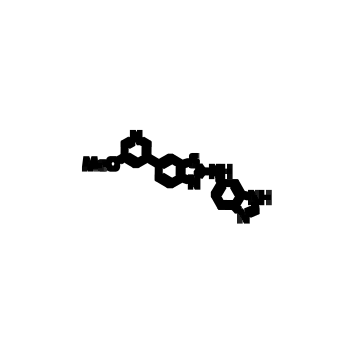 COc1cncc(-c2ccc3nc(Nc4ccc5nc[nH]c5c4)sc3c2)c1